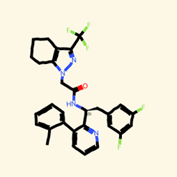 Cc1ccccc1-c1cccnc1[C@H](Cc1cc(F)cc(F)c1)NC(=O)Cn1nc(C(F)(F)F)c2c1CCCC2